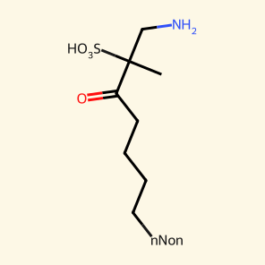 CCCCCCCCCCCCCC(=O)C(C)(CN)S(=O)(=O)O